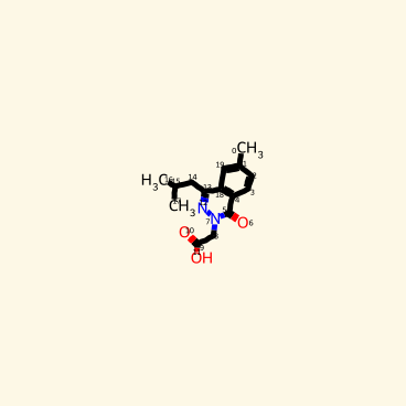 Cc1ccc2c(=O)n(CC(=O)O)nc(CC(C)C)c2c1